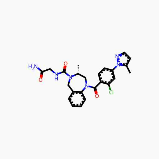 Cc1ccnn1-c1ccc(C(=O)N2C[C@@H](C)N(C(=O)NCC(N)=O)Cc3ccccc32)c(Cl)c1